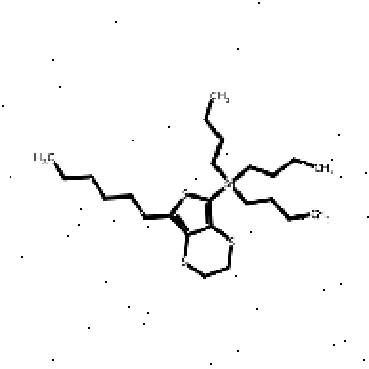 CCCCCCc1s[c]([Sn]([CH2]CCC)([CH2]CCC)[CH2]CCC)c2c1SCCS2